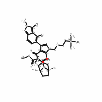 Cn1nc2ccc(-c3cn(COCC[Si](C)(C)C)c4nc(N5[C@@H]6CC[C@H]5C[C@@](C)(NC(=O)OC(C)(C)C)C6)n(C)c(=O)c34)c(Cl)c2c1Cl